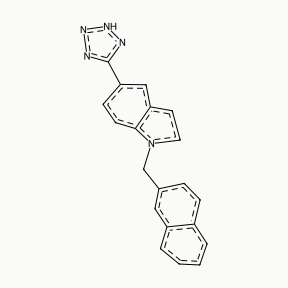 c1ccc2cc(Cn3ccc4cc(-c5nn[nH]n5)ccc43)ccc2c1